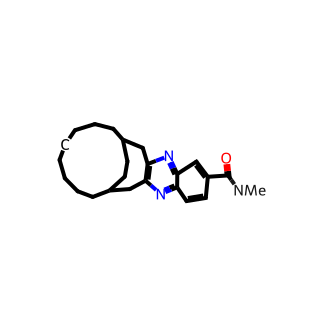 CNC(=O)c1ccc2nc3c(nc2c1)CC1CCCCCCCCC(CC1)C3